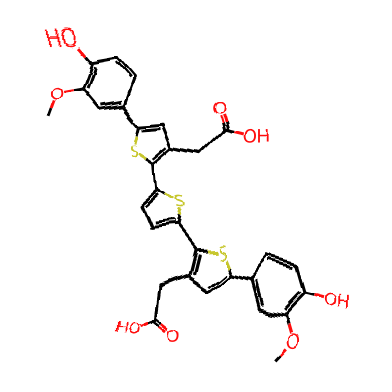 COc1cc(-c2cc(CC(=O)O)c(-c3ccc(-c4sc(-c5ccc(O)c(OC)c5)cc4CC(=O)O)s3)s2)ccc1O